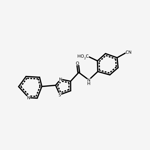 N#Cc1ccc(NC(=O)c2csc(-c3cccnc3)n2)c(C(=O)O)c1